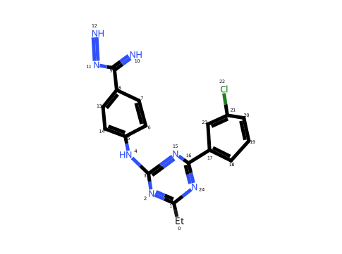 CCc1nc(Nc2ccc(C(=N)N=N)cc2)nc(-c2cccc(Cl)c2)n1